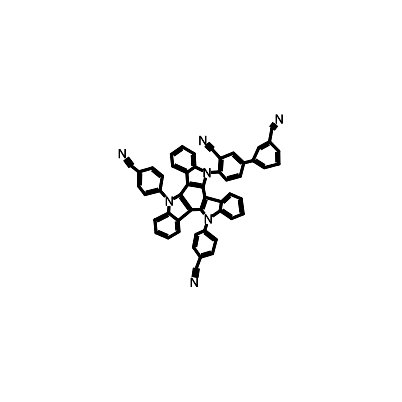 N#Cc1ccc(-n2c3ccccc3c3c2c2c4ccccc4n(-c4ccc(-c5cccc(C#N)c5)cc4C#N)c2c2c4ccccc4n(-c4ccc(C#N)cc4)c32)cc1